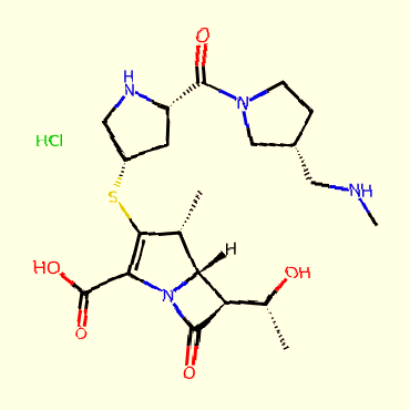 CNC[C@H]1CCN(C(=O)[C@@H]2C[C@H](SC3=C(C(=O)O)N4C(=O)[C@H]([C@@H](C)O)[C@H]4[C@H]3C)CN2)C1.Cl